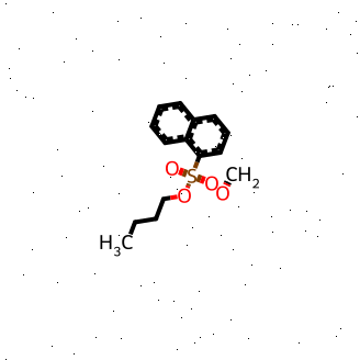 C=O.CCCCOS(=O)(=O)c1cccc2ccccc12